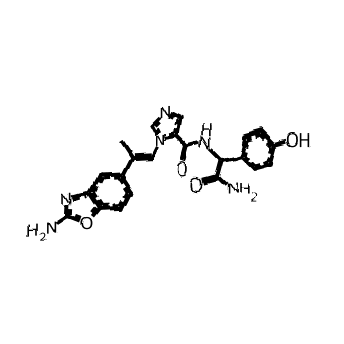 CC(=Cn1cncc1C(=O)NC(C(N)=O)c1ccc(O)cc1)c1ccc2oc(N)nc2c1